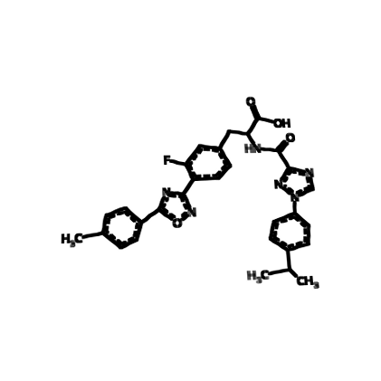 Cc1ccc(-c2nc(-c3ccc(CC(NC(=O)c4ncn(-c5ccc(C(C)C)cc5)n4)C(=O)O)cc3F)no2)cc1